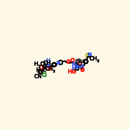 Cc1ncsc1-c1ccc(CNC(=O)[C@@H]2C[C@@H](O)CN2C(=O)[C@@H](NC(=O)COCCC2CCN(c3ccc(C(=O)NC4C(C)(C)C(Oc5ccc(C#N)c(Cl)c5)C4(C)C)cc3)CC2)C(C)(C)C)cc1